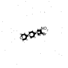 O=[N+]([O-])c1cn(C2CCN(C3CCOCC3)CC2)nc1Br